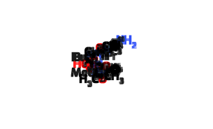 CC[C@H](C)[C@@H]([C@H](O)CC(=O)N1CCC[C@H]1[C@H](OC)[C@@H](C)C(=O)N[C@H](C)[C@@H](O)c1ccccc1)N(C)C(=O)CNC(=O)[C@H](C(C)C)N(C)Cc1ccc(N)cc1